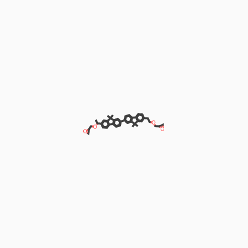 CC(OCC1CO1)c1ccc2c(c1)C(C)(C)c1cc(-c3ccc4c(c3)C(C)(C)c3cc(CCOCC5CO5)ccc3-4)ccc1-2